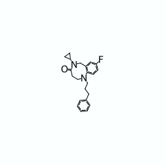 O=C1CCN(CCCc2ccccc2)c2ccc(F)cc2CN1C1CC1